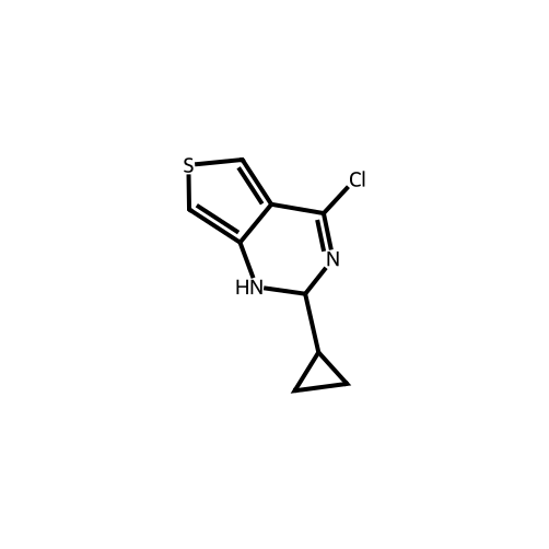 ClC1=NC(C2CC2)Nc2cscc21